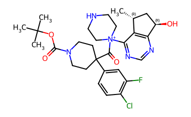 C[C@@H]1C[C@@H](O)c2ncnc([N+]3(C(=O)C4(c5ccc(Cl)c(F)c5)CCN(C(=O)OC(C)(C)C)CC4)CCNCC3)c21